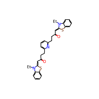 CCN1/C(=C/C(=O)CCc2cccc(CCC(=O)/C=C3\Sc4ccccc4N3CC)n2)Sc2ccccc21